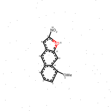 COc1cccc2cc3cc([N+](=O)[O-])oc3cc12